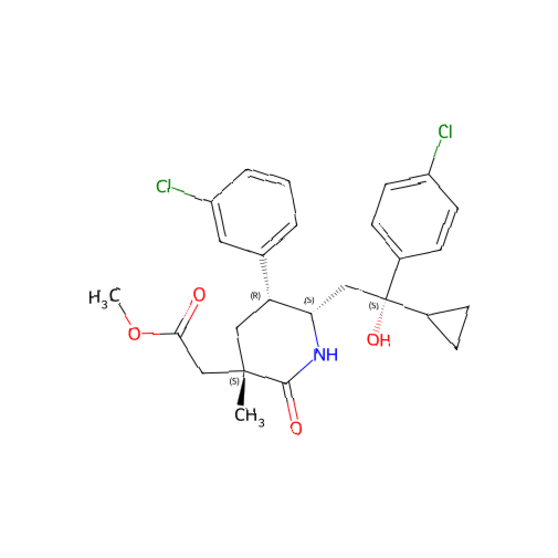 COC(=O)C[C@]1(C)C[C@H](c2cccc(Cl)c2)[C@H](C[C@@](O)(c2ccc(Cl)cc2)C2CC2)NC1=O